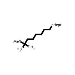 CCCCCCCCCCCCCC(C)(C)NC